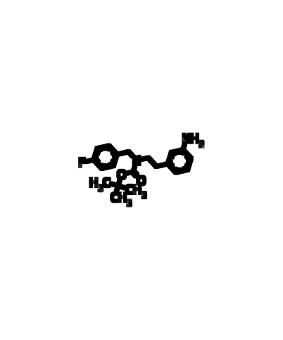 CC(C)(C)OC(=O)N(CCc1cccc(N)c1)Cc1ccc(F)cc1